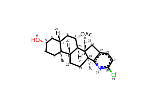 CC(=O)O[C@H]1C[C@H]2C[C@@H](O)CC[C@]2(C)[C@H]2CC[C@]3(C)c4nc(Cl)ccc4C[C@H]3[C@H]12